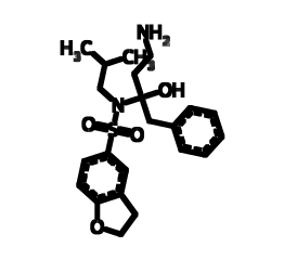 CC(C)CN(C(O)(CCN)Cc1ccccc1)S(=O)(=O)c1ccc2c(c1)CCO2